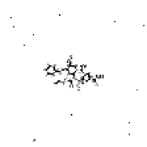 C=CCOC(=O)N1c2cc(OCc3ccccc3)c(OC)cc2C(=O)N2C=C(C(C)O)C[C@H]2[C@@H]1O